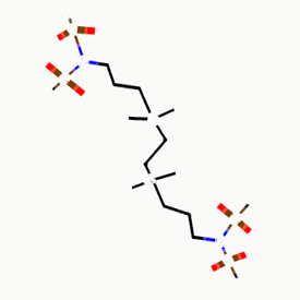 C[Si](C)(CCCN(S(=O)(=O)C(F)(F)F)S(=O)(=O)C(F)(F)F)CC[Si](C)(C)CCCN(S(=O)(=O)C(F)(F)F)S(=O)(=O)C(F)(F)F